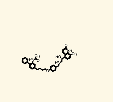 O=C(O)Nc1cc(CCCCOc2ccc(CNC[C@H](O)c3ccc(O)c4[nH]c(=O)ccc34)cc2)ccc1-c1ccccc1